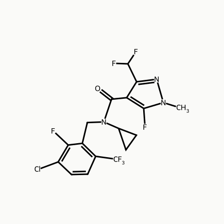 Cn1nc(C(F)F)c(C(=O)N(Cc2c(C(F)(F)F)ccc(Cl)c2F)C2CC2)c1F